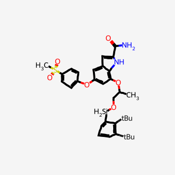 CC(CO[SiH2]c1cccc(C(C)(C)C)c1C(C)(C)C)Oc1cc(Oc2ccc(S(C)(=O)=O)cc2)cc2cc(C(N)=O)[nH]c12